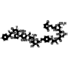 CC[C@H](C)[C@@H]([C@@H](CC(=O)N1CCC[C@H]1[C@H](OC)[C@@H](C)C(=O)N[C@H](C)[C@@H](O)c1ccccc1)OC)N(C)C(=O)[C@@H](NC(=O)[C@H](C(C)C)N(C)C(=O)OCc1ccc(NC(=O)[C@H](C)NC(=O)[C@H](CO)NC(=O)[C@H](CCC(=O)O)NC(=O)CCN2C(=O)C=CC2=O)cc1)C(C)C